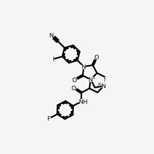 N#Cc1ccc(N2C(=O)C3C[N@]4CC(C(=O)Nc5ccc(F)cc5)[N+]3(C4)C2=O)cc1I